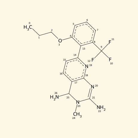 CCCOc1cccc(C(F)(F)F)c1-c1ccc2c(n1)N=C(N)N(C)C2N